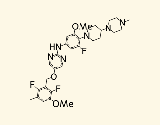 COc1cc(C)c(F)c(COc2cnc(Nc3cc(F)c(N4CCC(N5CCN(C)CC5)CC4)c(OC)c3)nc2)c1F